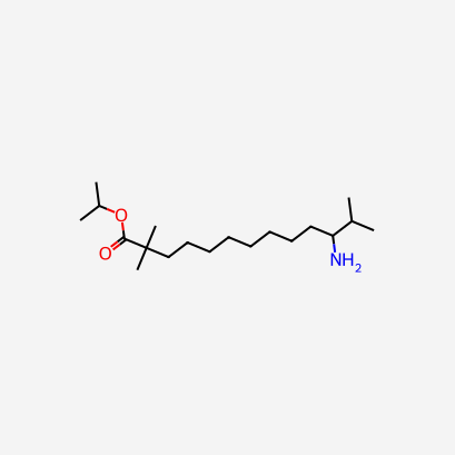 CC(C)OC(=O)C(C)(C)CCCCCCCCC(N)C(C)C